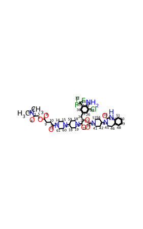 CN(C)C(=O)COC(=O)CCC(=O)N1CCN(C2CCN(C(=O)[C@@H](Cc3cc(Cl)c(N)c(C(F)(F)F)c3)OC(=O)N3CCC(N4CCc5ccccc5NC4=O)CC3)CC2)CC1